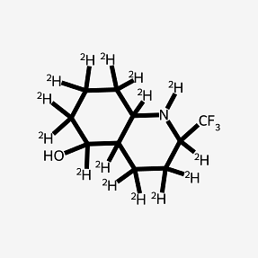 [2H]N1C([2H])(C(F)(F)F)C([2H])([2H])C([2H])([2H])C2([2H])C([2H])(O)C([2H])([2H])C([2H])([2H])C([2H])([2H])C12[2H]